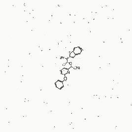 CC(C)C(C(=O)OC(C#N)c1cccc(Oc2ccccc2)n1)c1cc2ccccc2s1